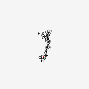 C=CCn1c(=O)c2cnc(Nc3ccc([C@H](O)CN4CCN(c5ccc(NC6CCC(=O)NC6=O)cc5)CC4)cc3)nc2n1-c1ccc2c(n1)[C@@](O)(CC)CC2